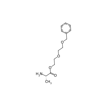 C[C@H](N)C(=O)OCCOCCOCc1ccccc1